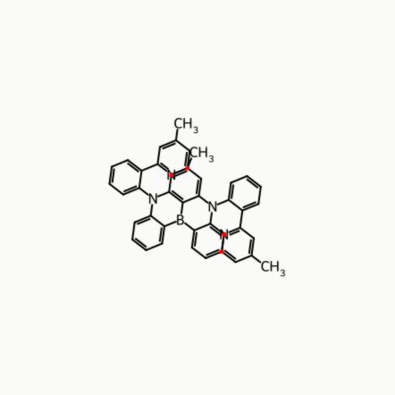 Cc1ccnc(-c2ccccc2N2c3ccccc3B3c4ccccc4N(c4ccccc4-c4cc(C)ccn4)c4cc(C)cc2c43)c1